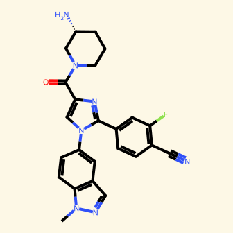 Cn1ncc2cc(-n3cc(C(=O)N4CCC[C@@H](N)C4)nc3-c3ccc(C#N)c(F)c3)ccc21